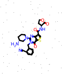 N#Cc1ccccc1Cn1c(N2CCC[C@@H](N)C2)nc2c(C(=O)N[C@H]3CCOC3=O)csc2c1=O